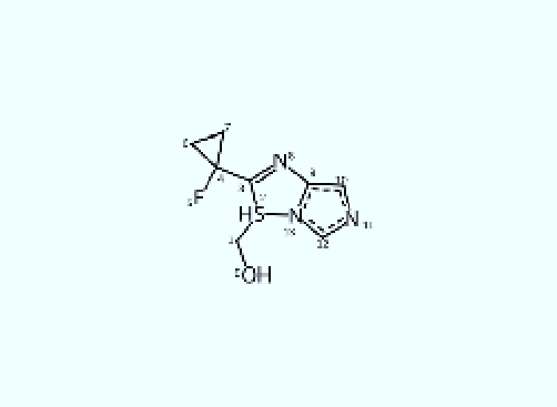 OC[SH]1C(C2(F)CC2)=Nc2cncn21